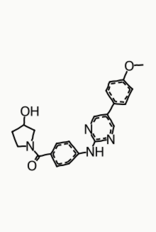 COc1ccc(-c2cnc(Nc3ccc(C(=O)N4CCC(O)C4)cc3)nc2)cc1